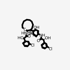 C[C@@]1(NC(=O)[C@H](O)c2cccc(Cl)c2)CCCCCCCCC[C@@]1(O)c1ccc(NC(=O)[C@H](O)c2cccc(Cl)c2)cc1O